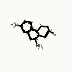 Nc1ccc2c3c(c(N)cc2c1)C=C(I)CC3